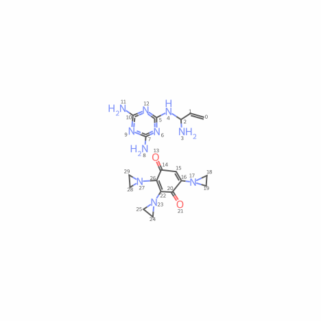 C=CC(N)Nc1nc(N)nc(N)n1.O=C1C=C(N2CC2)C(=O)C(N2CC2)=C1N1CC1